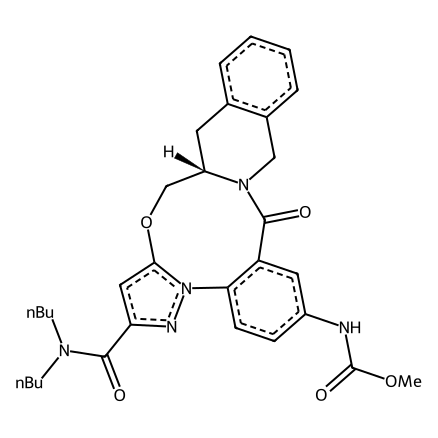 CCCCN(CCCC)C(=O)c1cc2n(n1)-c1ccc(NC(=O)OC)cc1C(=O)N1Cc3ccccc3C[C@H]1CO2